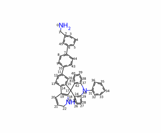 NCc1cccc(-c2ccc(-c3ccc4c(c3)C3(C5=C4C=CCN5)c4ccccc4N(c4ccccc4)c4ccccc43)cc2)c1